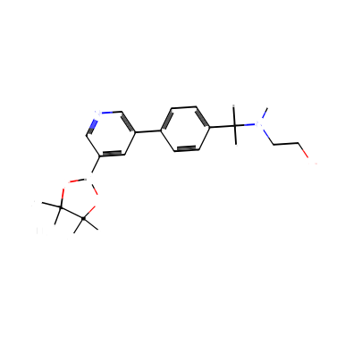 CN(CCO)C(C)(C)c1ccc(-c2cncc(B3OC(C)(C)C(C)(C)O3)c2)cc1